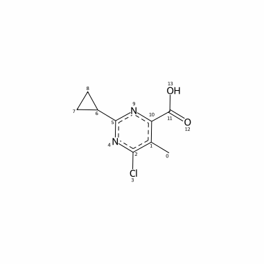 Cc1c(Cl)nc(C2CC2)nc1C(=O)O